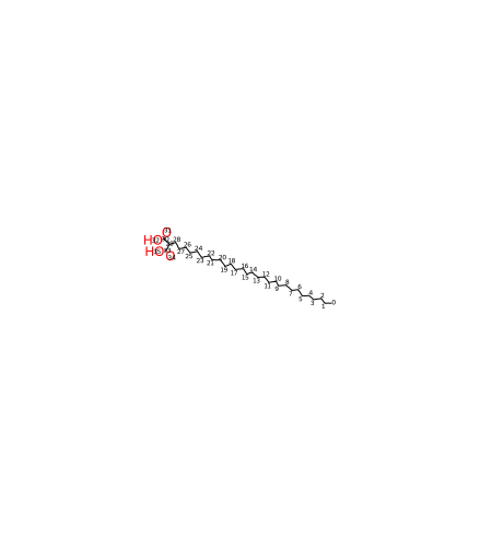 CCCCCCCCCCCCCCCCCCCCCCCCCCCCCC(C(=O)O)C(=O)O